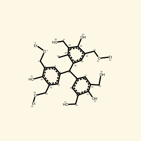 CCOCc1cc(C(c2cc(CO)c(O)c(CO)c2)c2cc(COCC)c(O)c(CO)c2C)cc(COCC)c1O